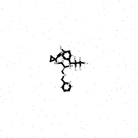 N#CC1(NC(=O)[C@H](CSCc2ccccn2)N[C@@H](c2ccc(F)cc2)C(F)(F)C(F)(F)F)CC1